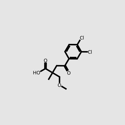 COCC(C)(CC(=O)c1ccc(Cl)c(Cl)c1)C(=O)O